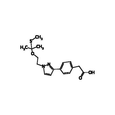 CSC(C)(C)OCCn1ccc(-c2ccc(CC(=O)O)cc2)n1